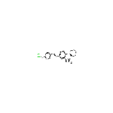 FC(F)(F)c1cc(/C=C/c2ccc(CCl)cc2)ccc1C1=CCCCC1